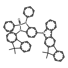 CC1(C)c2ccccc2-c2cc3c4ccccc4n(-c4ccc5c(c4)N(c4ccccc4)P(=O)(c4ccccc4)N5c4cccc5c4-c4ccccc4C5(C)C)c3cc21